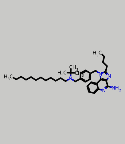 CCCCCCCCCCCCN(Cc1ccc(Cn2c(CCCC)nc3c(N)nc4ccccc4c32)cc1)C(C)(C)C